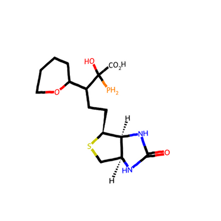 O=C1N[C@H]2[C@H](CS[C@H]2CCC(C2CCCCO2)C(O)(P)C(=O)O)N1